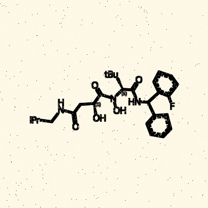 CC(C)CNC(=O)C[C@H](O)C(=O)N(O)[C@H](C(=O)NC(c1ccccc1)c1ccccc1F)C(C)(C)C